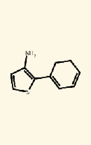 Nc1ccsc1C1=CC=CCC1